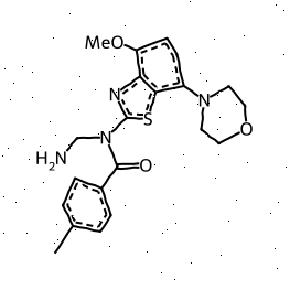 COc1ccc(N2CCOCC2)c2sc(N(CN)C(=O)c3ccc(C)cc3)nc12